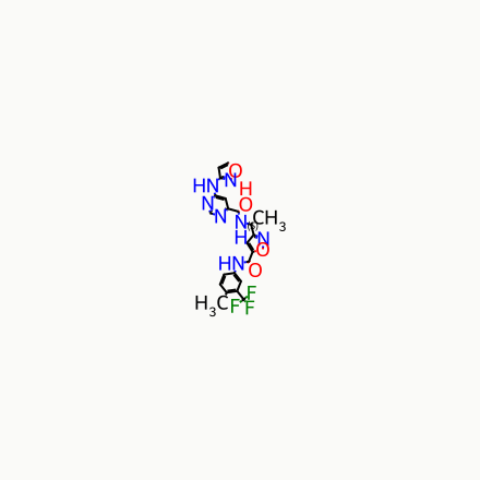 Cc1ccc(NC(=O)c2cc([C@H](C)NC(O)c3cc(Nc4ccon4)ncn3)no2)cc1C(F)(F)F